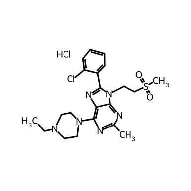 CCN1CCN(c2nc(C)nc3c2nc(-c2ccccc2Cl)n3CCS(C)(=O)=O)CC1.Cl